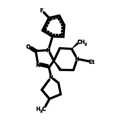 CCN1CC[C@@]2(C[C@@H]1C)C(N1CCC(C)C1)=NC(=O)N2c1cccc(F)c1